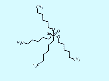 CCCCCC[O][Mo](=[O])(=[S])([CH2]CCCCC)([CH2]CCCCC)[O]CCCCCC